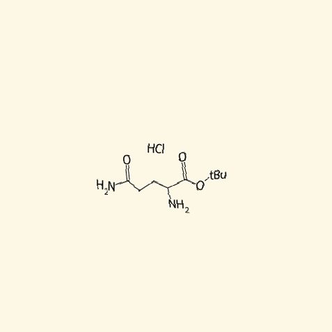 CC(C)(C)OC(=O)C(N)CCC(N)=O.Cl